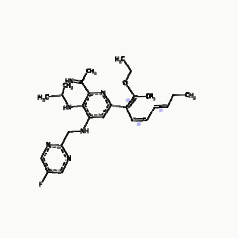 CC/C=C/C=C\C(=C(/C)OCC)c1cc(NCc2ncc(F)cn2)c(NC(C)C)c(C(C)=N)n1